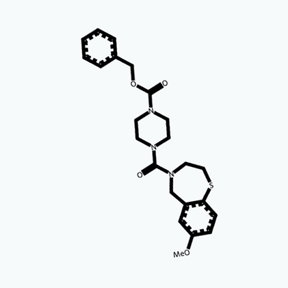 COc1ccc2c(c1)CN(C(=O)N1CCN(C(=O)OCc3ccccc3)CC1)CCS2